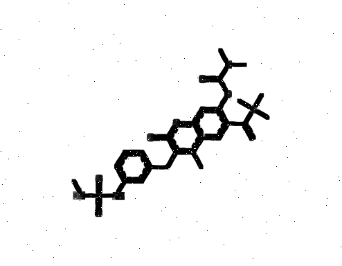 C=C(c1cc2c(C)c(Cc3cccc(NS(=O)(=O)NC)c3)c(=O)oc2cc1OC(=O)N(C)C)[Si](C)(C)C